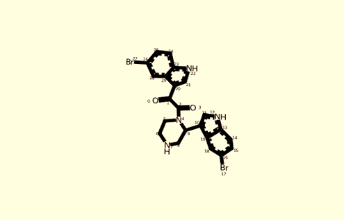 O=C(C(=O)N1CCNCC1c1c[nH]c2ccc(Br)cc12)c1c[nH]c2ccc(Br)cc12